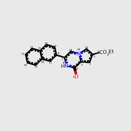 CCOC(=O)c1cc2c(=O)[nH]c(-c3ccc4ccccc4c3)cn2c1